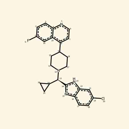 Fc1ccc2nccc(C3CCN([C@@H](c4nc5ccc(Cl)cc5[nH]4)C4CC4)CC3)c2c1